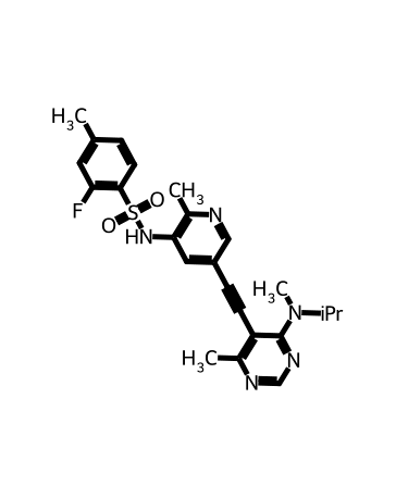 Cc1ccc(S(=O)(=O)Nc2cc(C#Cc3c(C)ncnc3N(C)C(C)C)cnc2C)c(F)c1